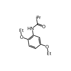 CCOc1ccc(OCC)c(NC(=O)C(C)C)c1